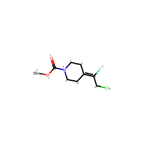 CC(C)(C)OC(=O)N1CCC(=C(F)CCl)CC1